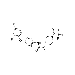 CC(C(=O)Nc1ccc(Oc2ccc(F)cc2F)cn1)C1CCN(C(=O)C(F)(F)F)CC1